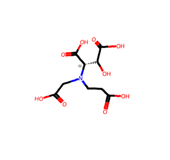 O=C(O)CCN(CC(=O)O)[C@H](C(=O)O)C(O)C(=O)O